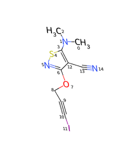 CN(C)c1snc(OCC#CI)c1C#N